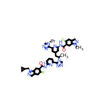 CC(C)n1cnnc1-c1cc(CC(C)n2cnnc2-c2cccc(NC(=O)c3cc4c(cnn4CC4CC4)cc3F)n2)cc(NC(=O)c2cc3c(cnn3C)cc2F)n1